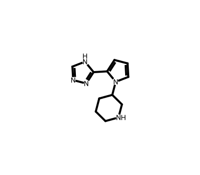 c1cc(-c2nnc[nH]2)n(C2CCCNC2)c1